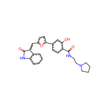 O=C1Nc2ccccc2/C1=C\c1ccc(-c2ccc(C(=O)NCCN3CCCC3)c(O)c2)o1